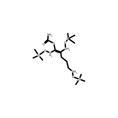 C[Si](C)(C)O[SiH2]CCCC([SiH2]O[Si](C)(C)C)=C(OC(N)=O)[SiH2]O[Si](C)(C)C